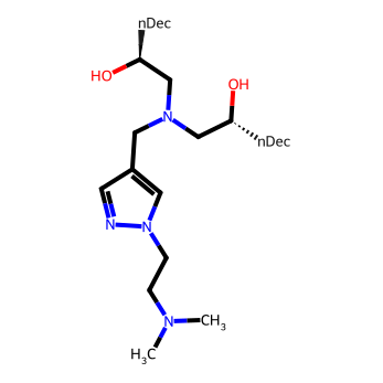 CCCCCCCCCC[C@@H](O)CN(Cc1cnn(CCN(C)C)c1)C[C@@H](O)CCCCCCCCCC